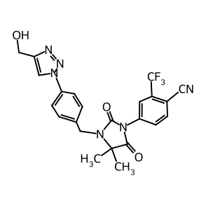 CC1(C)C(=O)N(c2ccc(C#N)c(C(F)(F)F)c2)C(=O)N1Cc1ccc(-n2cc(CO)nn2)cc1